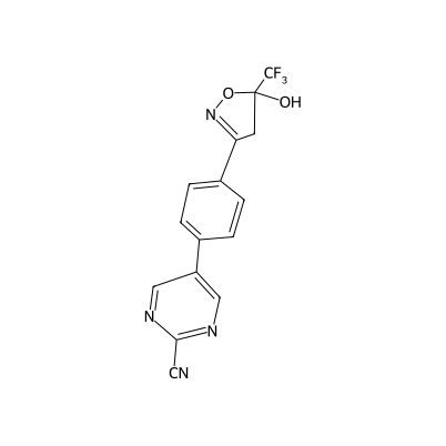 N#Cc1ncc(-c2ccc(C3=NOC(O)(C(F)(F)F)C3)cc2)cn1